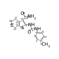 Cc1ccc(NC(=O)Nc2sc3c(c2C(N)=O)CCSC3)cc1